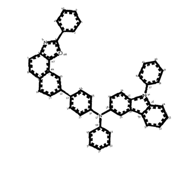 c1ccc(-c2nc3ccc4ccc(-c5ccc(N(c6ccccc6)c6ccc7c(c6)c6ccccc6n7-c6ccccc6)cc5)cc4c3o2)cc1